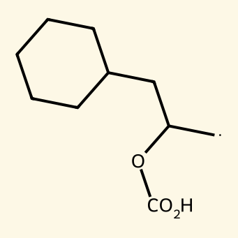 [CH2]C(CC1CCCCC1)OC(=O)O